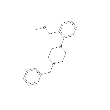 COCc1ccccc1N1CCN(Cc2ccccc2)CC1